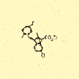 C=c1c(=Cc2cc(F)ccc2C)c2ccc(Cl)cc2n1C(=O)OCC